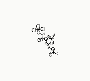 CC(=O)OCC(COC(=O)COC(Cl)(Cl)Cl)OC(C)=O